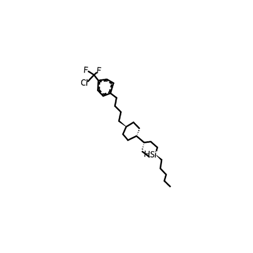 CCCCC[Si@H]1CC[C@H]([C@H]2CC[C@H](CCCCc3ccc(C(F)(F)Cl)cc3)CC2)CC1